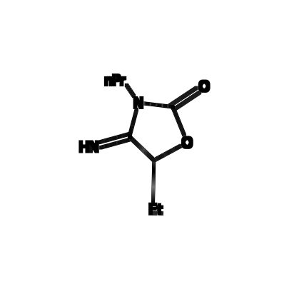 CCCN1C(=N)C(CC)OC1=O